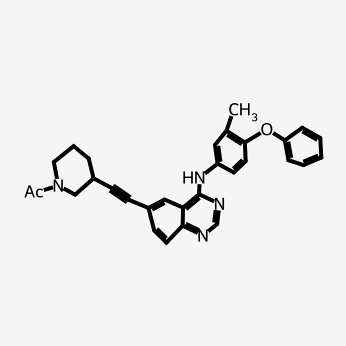 CC(=O)N1CCCC(C#Cc2ccc3ncnc(Nc4ccc(Oc5ccccc5)c(C)c4)c3c2)C1